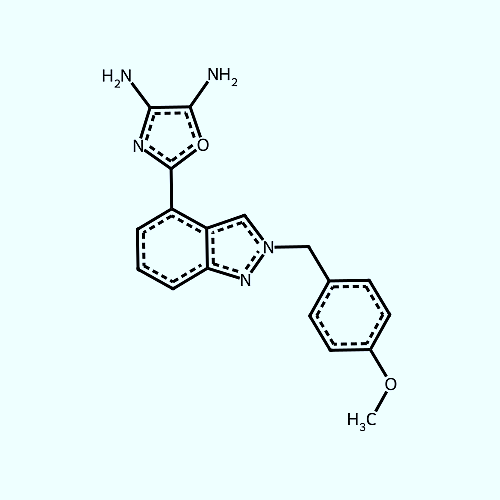 COc1ccc(Cn2cc3c(-c4nc(N)c(N)o4)cccc3n2)cc1